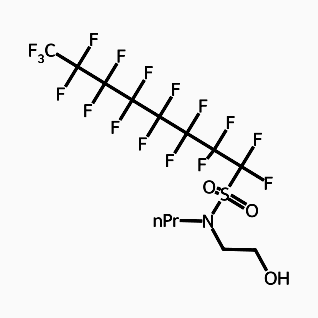 CCCN(CCO)S(=O)(=O)C(F)(F)C(F)(F)C(F)(F)C(F)(F)C(F)(F)C(F)(F)C(F)(F)C(F)(F)F